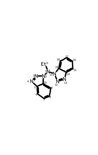 CCN(n1nnc2ccccc21)n1nnc2ccccc21